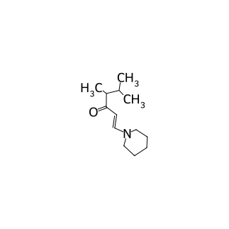 CC(C)C(C)C(=O)/C=C/N1CCCCC1